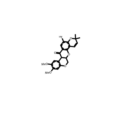 COc1cc2c(cc1OC)C1C(=O)c3cc([18F])c4c(c3OC1CO2)C=CC(C)(C)O4